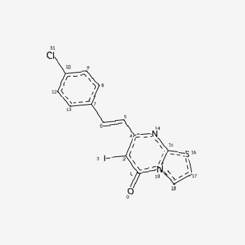 O=c1c(I)c(/C=C/c2ccc(Cl)cc2)nc2sccn12